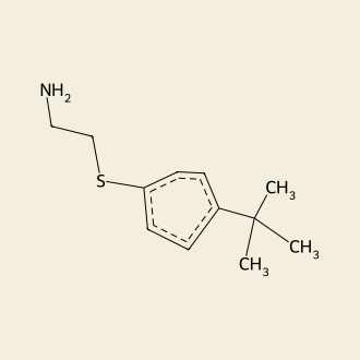 CC(C)(C)c1ccc(SCCN)cc1